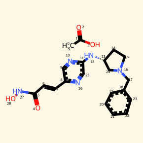 CC(=O)O.O=C(/C=C/c1cnc(N[C@@H]2CCN(Cc3ccccc3)C2)cn1)NO